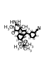 CN1C(=N)N[C@](C)(c2cc(-c3cccc(C#N)c3)cs2)[C@@H](c2ccc(S(=O)(=O)C(C)(C)C)cc2)C1=O